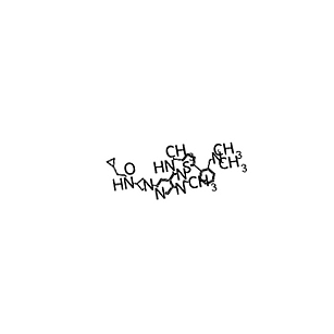 Cc1nc(NC(C)c2ccc(-c3ccccc3CN(C)C)s2)c2cc(N3CC(NC(=O)CC4CC4)C3)ncc2n1